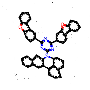 c1ccc2cc3c(cc2c1)-c1cccc2cccc(c12)N3c1nc(-c2ccc3c(c2)oc2ccccc23)nc(-c2ccc3oc4ccccc4c3c2)n1